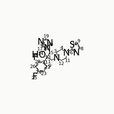 C[C@@H](N1CCN(c2nccs2)CC1)[C@](O)(Cn1cncn1)c1ccc(F)cc1F